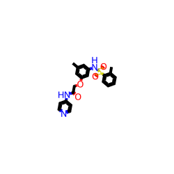 Cc1cc(NS(=O)(=O)c2ccccc2C)cc(OCC(=O)Nc2ccncc2)c1